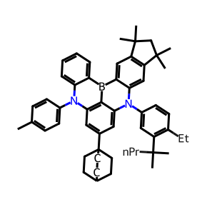 CCCC(C)(C)c1cc(N2c3cc4c(cc3B3c5ccccc5N(c5ccc(C)cc5)c5cc(C67CCC(CC6)CC7)cc2c53)C(C)(C)CC4(C)C)ccc1CC